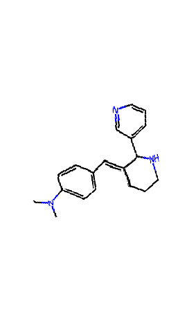 CN(C)c1ccc(C=C2CCCNC2c2cccnc2)cc1